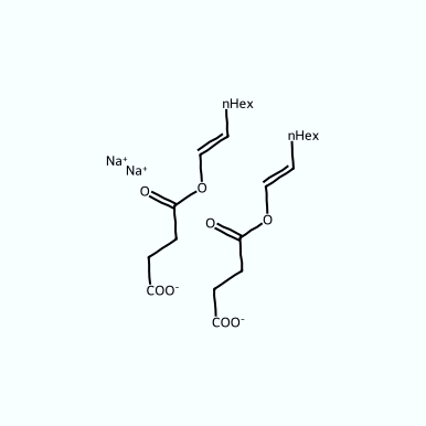 CCCCCCC=COC(=O)CCC(=O)[O-].CCCCCCC=COC(=O)CCC(=O)[O-].[Na+].[Na+]